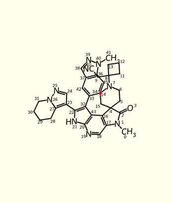 CN1C(=O)C2(CCN(C3(CC#N)CCC3)CC2)c2c1cnc1[nH]c(-c3cnn4c3CCCC4)c(-c3ccc4c(cnn4C)c3)c21